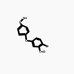 O=Cc1cc(Oc2ccc(SS)cc2)ccc1Br